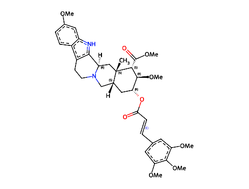 COC(=O)[C@@H]1[C@@H](OC)[C@H](OC(=O)/C=C/c2cc(OC)c(OC)c(OC)c2)C[C@@H]2CN3CCc4c([nH]c5cc(OC)ccc45)[C@H]3C[C@@]21C